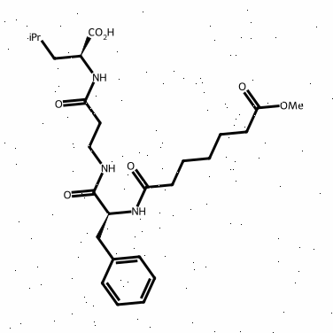 COC(=O)CCCCCC(=O)N[C@@H](Cc1ccccc1)C(=O)NCCC(=O)N[C@@H](CC(C)C)C(=O)O